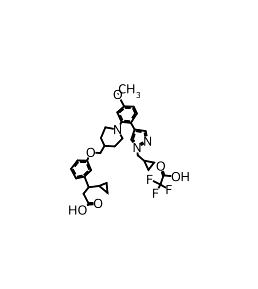 COc1ccc(-c2cnn(CC3CC3)c2)c(N2CCC(COc3cccc(C(CC(=O)O)C4CC4)c3)CC2)c1.O=C(O)C(F)(F)F